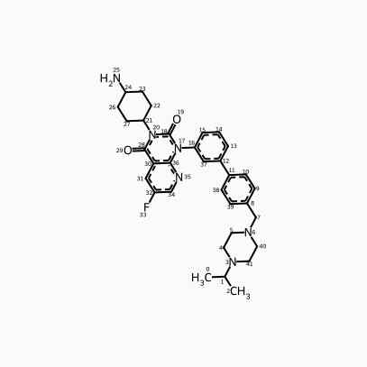 CC(C)N1CCN(Cc2ccc(-c3cccc(-n4c(=O)n(C5CCC(N)CC5)c(=O)c5cc(F)cnc54)c3)cc2)CC1